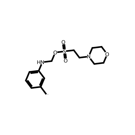 [CH2]c1cccc(NCOS(=O)(=O)CCN2CCOCC2)c1